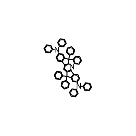 c1ccc(N(c2ccccc2)c2ccc3c(c2)C(c2ccccc2)(c2ccccc2)c2cc4c(nc2-3)C(c2ccccc2)(c2ccccc2)c2cc(N(c3ccccc3)c3ccccc3)ccc2-4)cc1